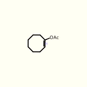 CC(=O)O/C1=C/CCCCCC1